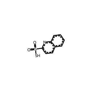 O=S(=O)(S)c1ccc2ccccc2n1